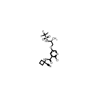 C[C@@H](COc1cnc(Cl)c(C(=O)NC2(C#N)CCC2)c1)NS(=O)(=O)C(F)(F)F